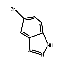 Brc1ccc2[nH]n[c]c2c1